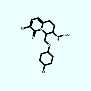 CCc1ccc2n(c1=O)C(COC1CCC(CC)CC1)C(NSC)CC2